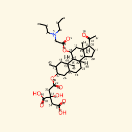 CCCN(CCC)CC(=O)OC1C[C@]2(C)[C@@H](C(C)=O)CC[C@H]2[C@@H]2CCC3CC(OC(=O)CC(O)(CC(=O)O)C(=O)O)C(C)C[C@]3(C)[C@@H]12